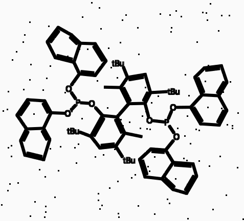 Cc1c(C(C)(C)C)cc(C(C)(C)C)c(OP(Oc2cccc3ccccc23)Oc2cccc3ccccc23)c1-c1c(C)c(C(C)(C)C)cc(C(C)(C)C)c1OP(Oc1cccc2ccccc12)Oc1cccc2ccccc12